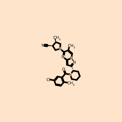 Cc1ccc(Cl)cc1C(=O)N1CCCC[C@H]1c1cc2nc(N3C[C@@H](C#N)[C@@H](C)C3)c(C)cn2n1